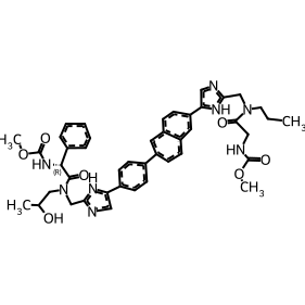 CCCN(Cc1ncc(-c2ccc3cc(-c4ccc(-c5cnc(CN(CC(C)O)C(=O)[C@H](NC(=O)OC)c6ccccc6)[nH]5)cc4)ccc3c2)[nH]1)C(=O)CNC(=O)OC